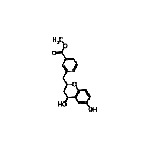 COC(=O)c1cccc(CC2CC(O)c3cc(O)ccc3O2)c1